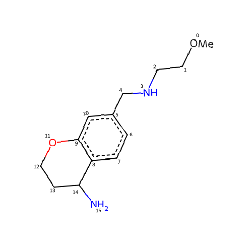 COCCNCc1ccc2c(c1)OCCC2N